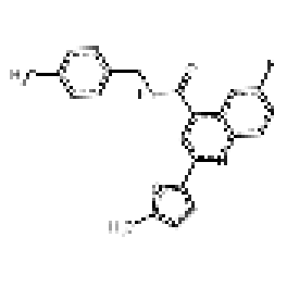 Cc1ccc(CNC(=O)c2cc(-c3ccc(C)o3)nc3ccc(F)cc23)cc1